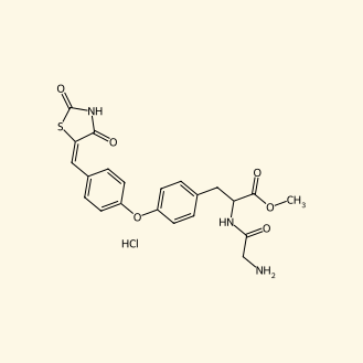 COC(=O)C(Cc1ccc(Oc2ccc(C=C3SC(=O)NC3=O)cc2)cc1)NC(=O)CN.Cl